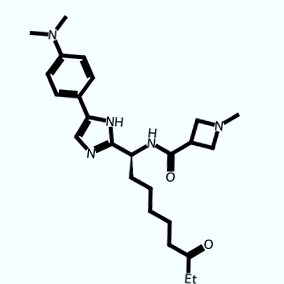 CCC(=O)CCCCC[C@H](NC(=O)C1CN(C)C1)c1ncc(-c2ccc(N(C)C)cc2)[nH]1